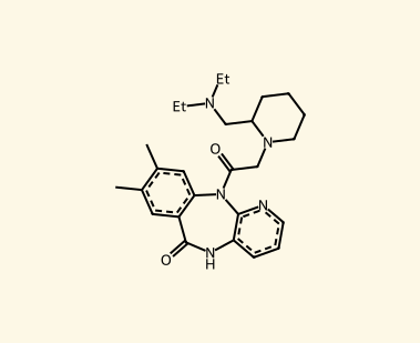 CCN(CC)CC1CCCCN1CC(=O)N1c2cc(C)c(C)cc2C(=O)Nc2cccnc21